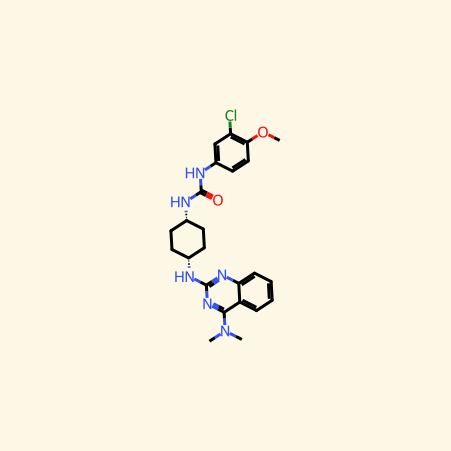 COc1ccc(NC(=O)N[C@H]2CC[C@@H](Nc3nc(N(C)C)c4ccccc4n3)CC2)cc1Cl